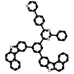 c1ccc(-c2nc(-c3ccc(-c4cccnc4)cc3)cc(-c3cc(-c4ccc5oc6ccc7ccccc7c6c5c4)cc(-c4ccc5oc6ccc7ccccc7c6c5c4)c3)n2)cc1